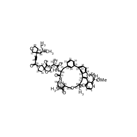 CCn1c(-c2cccnc2[C@H](C)OC)c2c3cc(ccc31)-c1cccc(c1)C[C@H](NC(=O)[C@H](C(C)C)N1CO[C@]3(CCN(C(=O)C#C[C@]4(C=[N+](C)C)CCOC4)C3)C1=O)C(=O)N1CCC[C@@](C(=O)[SiH3])(COCC(C)(C)C2)N1